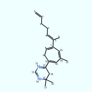 C=CCC/C=C(\C)C1=CCC(C2=NC=NC(C)(C)C2)=CC(C)=C1